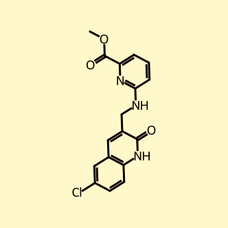 COC(=O)c1cccc(NCc2cc3cc(Cl)ccc3[nH]c2=O)n1